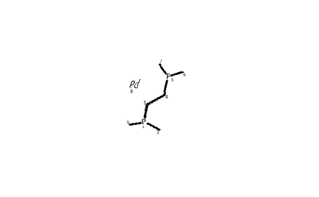 CP(C)CCP(C)C.[Pd]